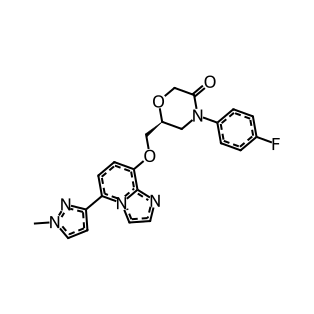 Cn1ccc(-c2ccc(OC[C@@H]3CN(c4ccc(F)cc4)C(=O)CO3)c3nccn23)n1